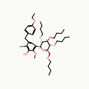 CCCCOC[C@H]1O[C@@H](c2cc(Cc3ccc(OCC)cc3)c(Cl)c(O)c2OC)[C@H](OCCCC)[C@@H](OCCCC)[C@@H]1OCCCC